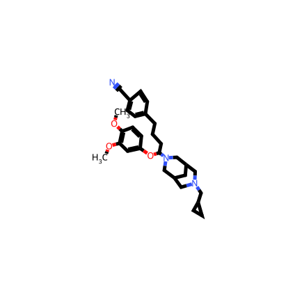 COc1ccc(OC(CCCc2ccc(C#N)cc2)N2CC3CC(CN(CC4CC4)C3)C2)cc1OC